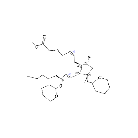 CCCCC[C@@H](/C=C/[C@@H]1[C@@H](C/C=C\CCCC(=O)OC)[C@H](F)C[C@H]1OC1CCCCO1)OC1CCCCO1